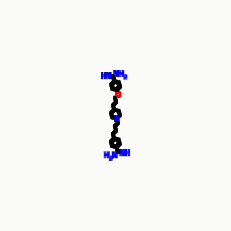 N=C(N)c1ccc(CCCCN2CCC(CCCOc3ccc(C(=N)N)cc3)CC2)cc1